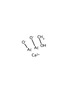 CC(=O)[O-].CC(=O)[O-].CO.[Ca+2]